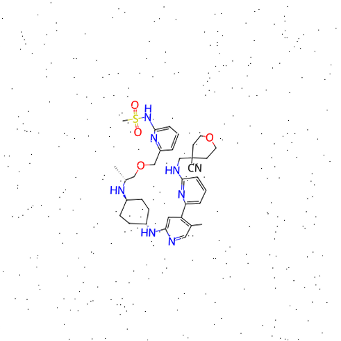 Cc1cnc(N[C@H]2CC[C@H](N[C@H](C)COCc3cccc(NS(C)(=O)=O)n3)CC2)cc1-c1cccc(NCC2(C#N)CCOCC2)n1